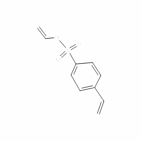 C=COS(=O)(=O)c1ccc(C=C)cc1